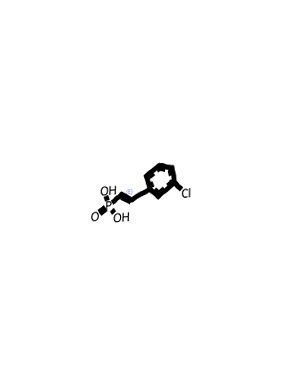 O=P(O)(O)/C=C/c1cccc(Cl)c1